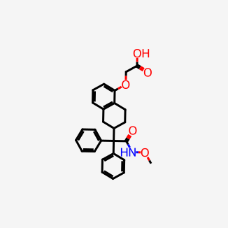 CONC(=O)C(c1ccccc1)(c1ccccc1)C1CCc2c(cccc2OCC(=O)O)C1